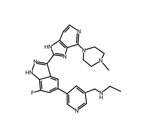 CCNCc1cncc(-c2cc(F)c3[nH]nc(-c4nc5c(N6CCN(C)CC6)nccc5[nH]4)c3c2)c1